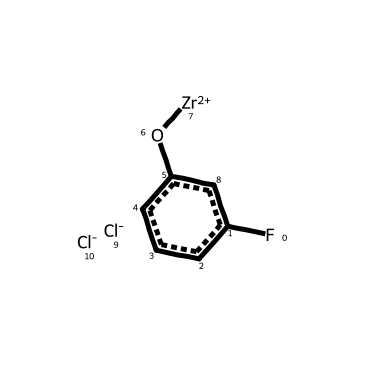 Fc1cccc([O][Zr+2])c1.[Cl-].[Cl-]